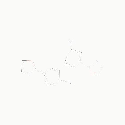 Nc1cc(-c2ncco2)cc(-c2cc(-c3ncco3)ccc2N)c1